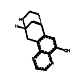 Oc1cc2c(c3nccnc13)C[C@@H]1NCC[C@]23CCCCC13